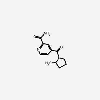 CC1CCCN1C(=O)c1[c]c(C(N)=O)ncc1